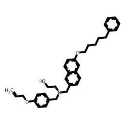 C=CCOc1ccc(CN(CCO)Cc2ccc3cc(OCCCCCc4ccccc4)ccc3c2)cc1